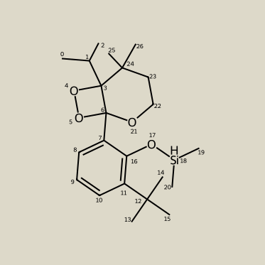 CC(C)C12OOC1(c1cccc(C(C)(C)C)c1O[SiH](C)C)OCCC2(C)C